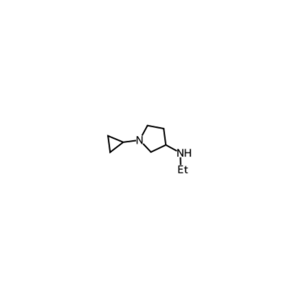 CCNC1CCN(C2CC2)C1